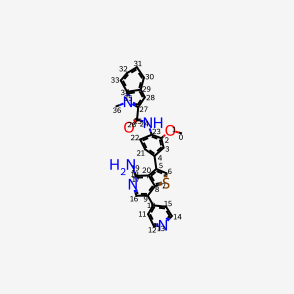 COc1cc(-c2csc3c(-c4ccncc4)cnc(N)c23)ccc1NC(=O)c1cc2ccccc2n1C